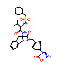 CC(C)[C@@H](NS(=O)(=O)CC1CCCCC1)C(=O)NC1(C(=O)NCc2ccc(N(C=N)C(=O)O)cc2)Cc2ccccc2C1